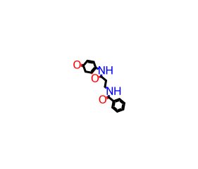 O=C1C=CC2=C(C1)OC(CCNC(=O)c1ccccc1)N2